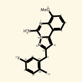 COc1cccc2c1nc(N)n1nc(Cc3cc(F)ccc3I)cc21